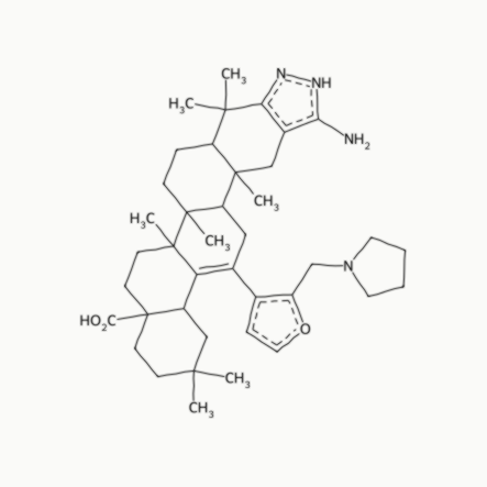 CC1(C)CCC2(C(=O)O)CCC3(C)C(=C(c4ccoc4CN4CCCC4)CC4C5(C)Cc6c(n[nH]c6N)C(C)(C)C5CCC43C)C2C1